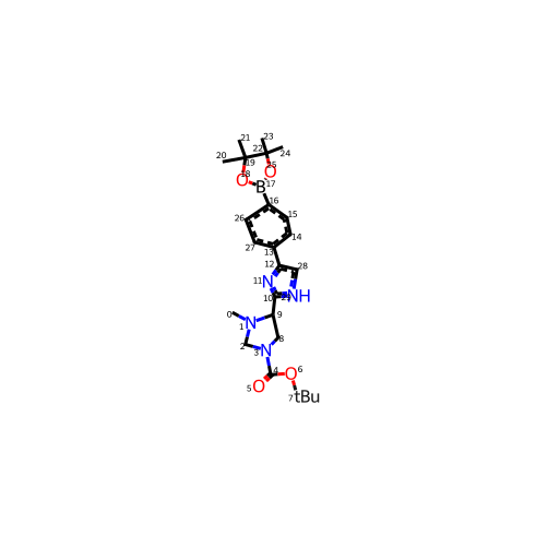 CN1CN(C(=O)OC(C)(C)C)CC1c1nc(-c2ccc(B3OC(C)(C)C(C)(C)O3)cc2)c[nH]1